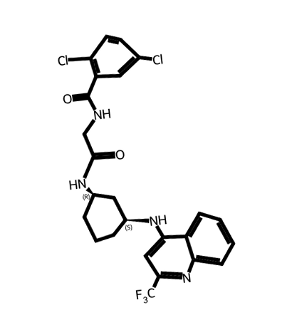 O=C(CNC(=O)c1cc(Cl)ccc1Cl)N[C@@H]1CCC[C@H](Nc2cc(C(F)(F)F)nc3ccccc23)C1